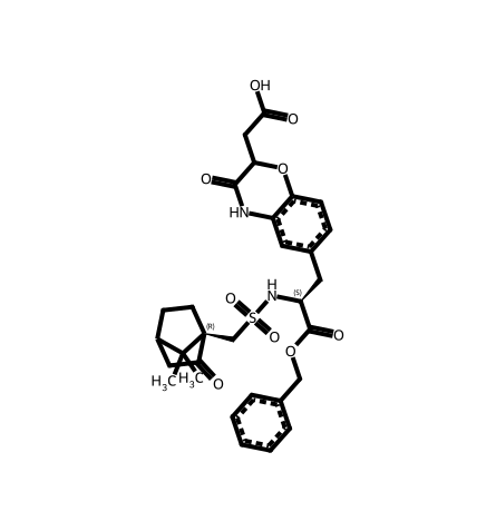 CC1(C)C2CC[C@]1(CS(=O)(=O)N[C@@H](Cc1ccc3c(c1)NC(=O)C(CC(=O)O)O3)C(=O)OCc1ccccc1)C(=O)C2